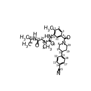 Cc1ccc(C(=O)N2CCC(c3ccc(C#N)cc3)CC2)cc1NC(=O)N(C)CC(=O)NC(C)C